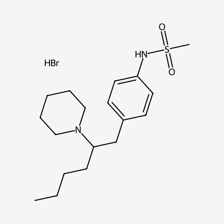 Br.CCCCC(Cc1ccc(NS(C)(=O)=O)cc1)N1CCCCC1